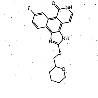 O=c1[nH]ccc2c3[nH]c(SCC4CCCCO4)nc3c3ccc(F)cc3c12